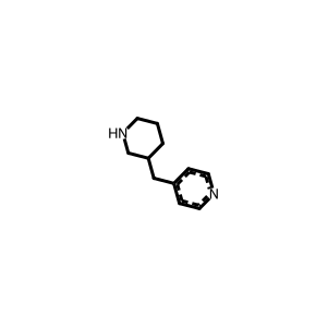 c1cc(CC2CCCNC2)ccn1